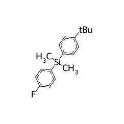 CC(C)(C)c1ccc([Si](C)(C)c2ccc(F)cc2)cc1